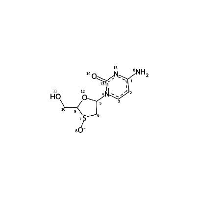 Nc1ccn(C2C[S+]([O-])C(CO)O2)c(=O)n1